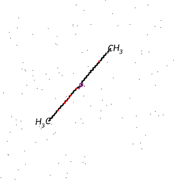 CCCCCCCCCCCCCCCCCCCCCCCCCCCC#C[P]C#CCCCCCCCCCCCCCCCCCCCCCCCCCCC